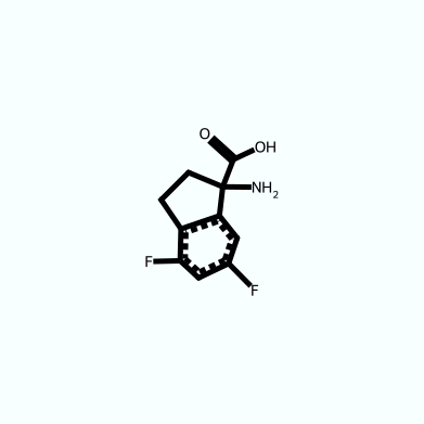 NC1(C(=O)O)CCc2c(F)cc(F)cc21